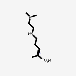 C/C(=C\CCNCCN(C)C)C(=O)O